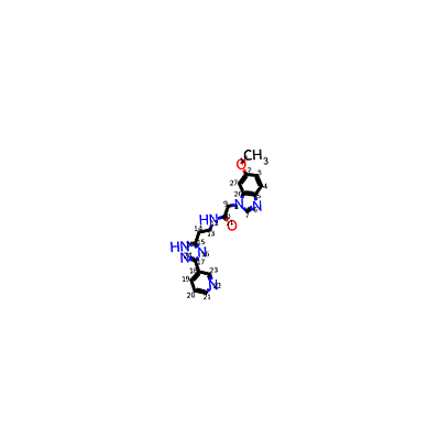 COc1ccc2ncn(CC(=O)NCCc3nc(-c4cccnc4)n[nH]3)c2c1